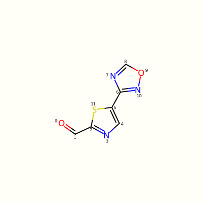 O=Cc1ncc(-c2ncon2)s1